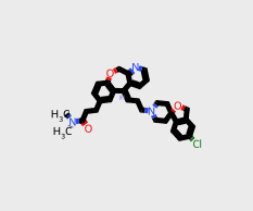 CN(C)C(=O)CCc1ccc2c(c1)/C(=C/CCN1CCC3(CC1)OCc1cc(Cl)ccc13)c1cccnc1CO2